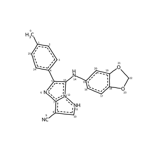 Cc1ccc(-c2nc3c(C#N)c[nH]n3c2Nc2ccc3c(c2)OCO3)cc1